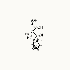 OC[C@@H](O)[C@@H](O)[C@H](O)[C@]1(O)CC23COC1(C2)C3